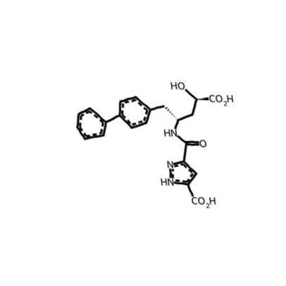 O=C(N[C@H](Cc1ccc(-c2ccccc2)cc1)C[C@@H](O)C(=O)O)c1cc(C(=O)O)[nH]n1